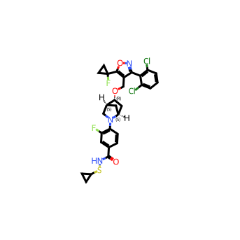 O=C(NSC1CC1)c1ccc(N2C[C@@H]3C[C@H]2C[C@H]3OCc2c(-c3c(Cl)cccc3Cl)noc2C2(F)CC2)c(F)c1